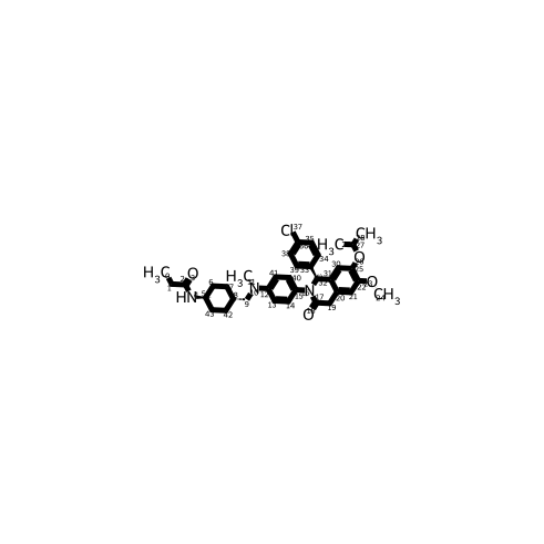 CCC(=O)N[C@H]1CC[C@H](CN(C)c2ccc(N3C(=O)Cc4cc(OC)c(OC(C)C)cc4[C@@H]3c3ccc(Cl)cc3)cc2)CC1